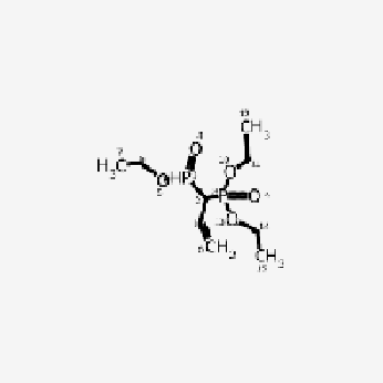 C=CC([PH](=O)OCC)P(=O)(OCC)OCC